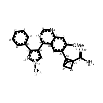 COc1cc2ncnc(-c3cn(C(F)(F)F)nc3-c3ccccc3)c2cc1C1C2CC1(C(N)=O)C2